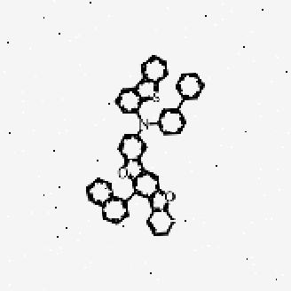 C1=Cc2c(oc3cc4c(oc5ccc(N(c6cccc(-c7ccccc7)c6)c6cccc7c6sc6ccccc67)cc54)c(-c4cccc5ccccc45)c23)CC1